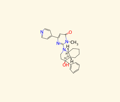 Cn1c(N2CC[C@@](O)(c3ccccc3)[C@H]3CCCC[C@H]32)nc(-c2ccncc2)cc1=O